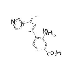 C/C=C(\C=C(/C)c1ccc(C(=O)O)cc1N)n1ccnc1